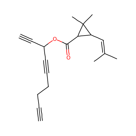 C#CCCC#CC(C#C)OC(=O)C1C(C=C(C)C)C1(C)C